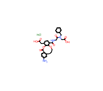 Cl.Nc1ccc2c(c1)CCCOc1c(C(=O)NCC(=O)N(CC(=O)O)Cc3ccccc3)ccc(CC(=O)O)c1OC2=O